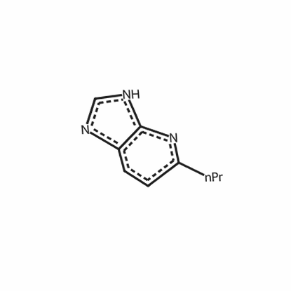 CCCc1ccc2nc[nH]c2n1